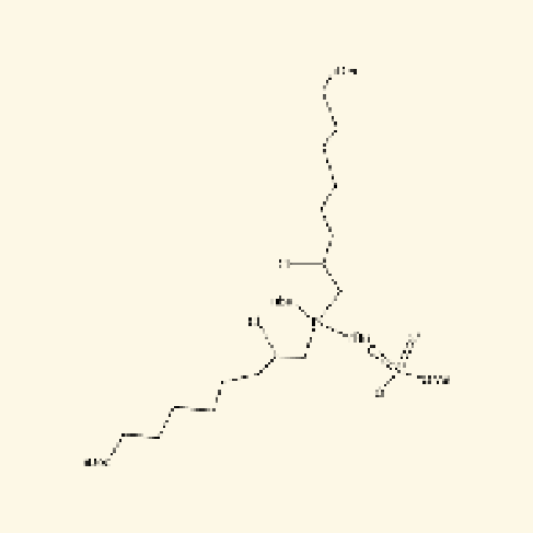 CCCCCCCCCCCCCCCCC(Cl)C[P+](CCCC)(CCCC)CC(Cl)CCCCCCCCCCCCCCCC.COS(=O)(=O)[O-]